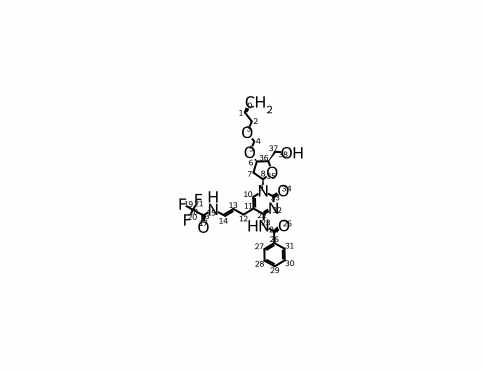 C=CCOCO[C@H]1C[C@H](n2cc(CC=CNC(=O)C(F)(F)F)c(NC(=O)c3ccccc3)nc2=O)O[C@@H]1CO